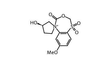 COc1ccc2c(c1)[N+]1(CC[C@@H](O)C1)C(=O)OCS2(=O)=O